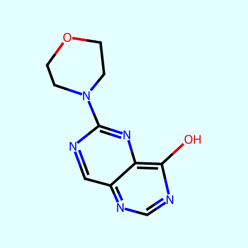 Oc1ncnc2cnc(N3CCOCC3)nc12